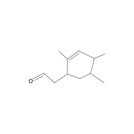 CC1=CC(C)C(C)CC1CC=O